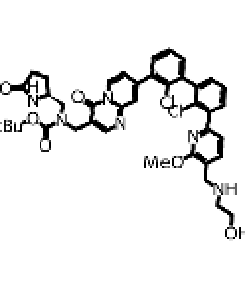 COc1nc(-c2cccc(-c3cccc(-c4ccn5c(=O)c(CN(C[C@@H]6CCC(=O)N6)C(=O)OC(C)(C)C)cnc5c4)c3Cl)c2Cl)ccc1CNCCO